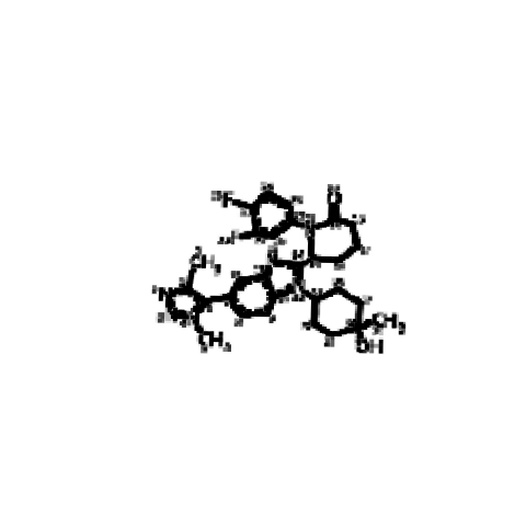 Cc1nnn(C)c1-c1ccc2c(c1)nc([C@@H]1CCCC(=O)N1c1ccc(F)c(F)c1)n2C1CCC(C)(O)CC1